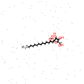 CCCCCCCCCCCCC(=O)C[C@@]1(O)O[C@H](CO)[C@H](O)[C@H]1O